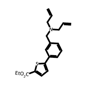 C=CCN(CC=C)Cc1cccc(-c2ccc(C(=O)OCC)s2)c1